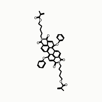 C=C(C)C(=O)OCCCCCN1C(=O)c2ccc3c4c(Oc5ccccc5)cc5c6c(ccc(c7c(Oc8ccccc8)cc(c2c37)C1=O)c64)C(=O)N(CCCCCOC(=O)C(=C)C)C5=O